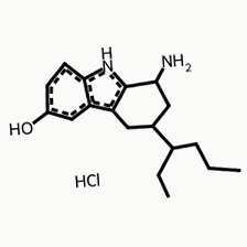 CCCC(CC)C1Cc2c([nH]c3ccc(O)cc23)C(N)C1.Cl